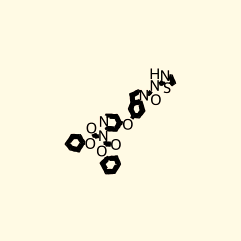 O=C(Oc1ccccc1)N(C(=O)Oc1ccccc1)c1cc(Oc2ccc3c(ccn3C(=O)Nc3nccs3)c2)ccn1